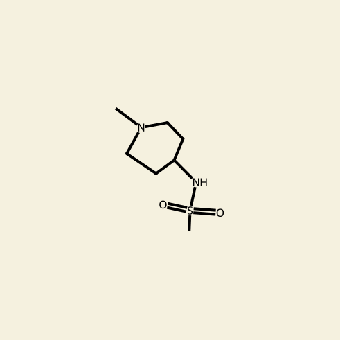 CN1CCC(NS(C)(=O)=O)CC1